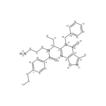 CCCc1ccc(C(=O)N(CCCN)C(CC)c2nc3onc(C)c3c(=O)n2Cc2ccccc2)cc1